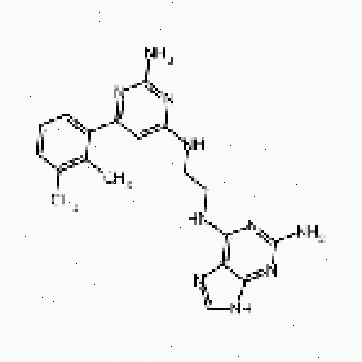 Cc1cccc(-c2cc(NCCNc3nc(N)nc4[nH]cnc34)nc(N)n2)c1C